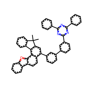 CC1(C)c2ccccc2-c2c1cc(-c1cccc(-c3cccc(-c4nc(-c5ccccc5)nc(-c5ccccc5)n4)c3)c1)c1ccc3c4ccccc4oc3c21